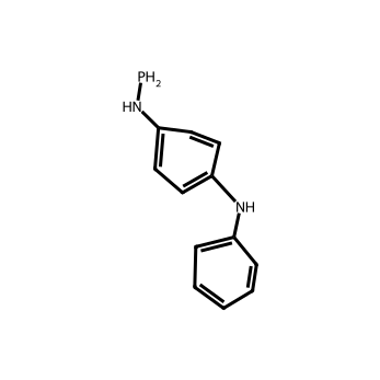 PNc1ccc(Nc2ccccc2)cc1